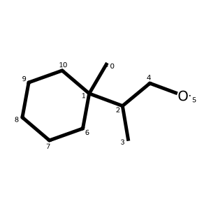 [CH2]C1(C(C)C[O])CCCCC1